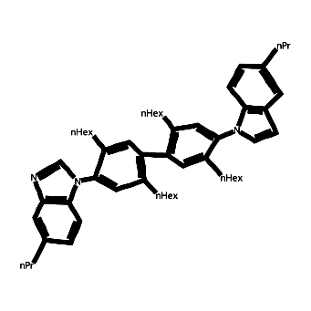 CCCCCCc1cc(-n2ccc3cc(CCC)ccc32)c(CCCCCC)cc1-c1cc(CCCCCC)c(-n2cnc3cc(CCC)ccc32)cc1CCCCCC